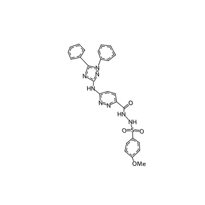 COc1ccc(S(=O)(=O)NNC(=O)c2ccc(Nc3nc(-c4ccccc4)n(-c4ccccc4)n3)nn2)cc1